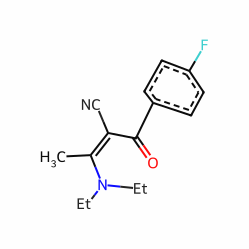 CCN(CC)C(C)=C(C#N)C(=O)c1ccc(F)cc1